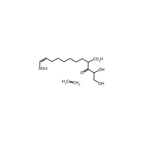 C=C.CCCCCCCC/C=C\CCCCCCC(C(=O)O)C(=O)C(O)CO